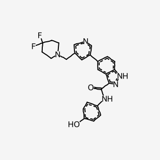 O=C(Nc1ccc(O)cc1)c1n[nH]c2ccc(-c3cncc(CN4CCC(F)(F)CC4)c3)cc12